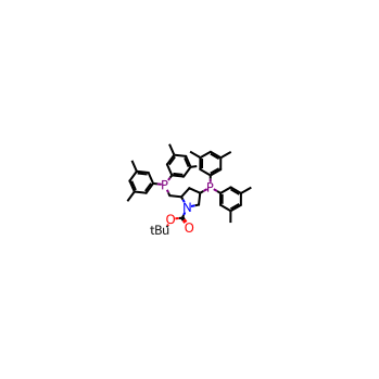 Cc1cc(C)cc(P(CC2CC(P(c3cc(C)cc(C)c3)c3cc(C)cc(C)c3)CN2C(=O)OC(C)(C)C)c2cc(C)cc(C)c2)c1